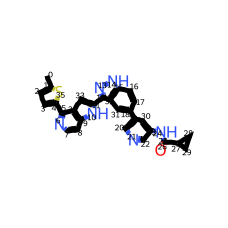 Cc1ccc(-c2nccc3[nH]c(-c4n[nH]c5ccc(-c6cncc(NC(=O)C7CC7)c6)cc45)cc23)s1